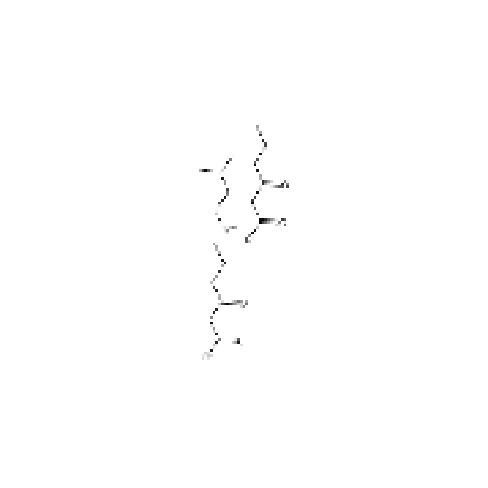 CC(C)C[O][Ti+2].CCCC(=O)CC(=O)[O-].CCCC(=O)CC(=O)[O-]